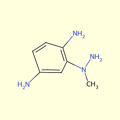 CN(N)c1cc(N)ccc1N